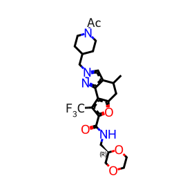 CC(=O)N1CCC(Cn2cc3c(n2)-c2c(oc(C(=O)NC[C@@H]4COCCO4)c2C(F)(F)F)CC3C)CC1